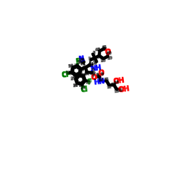 CC(C)(C[C@@H]1N[C@H](OC(=O)NCC[C@H](O)CO)[C@H](c2cccc(Cl)c2F)[C@@]1(C#N)c1ccc(Cl)cc1F)C1CCOCC1